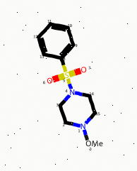 CON1CCN(S(=O)(=O)c2ccccc2)CC1